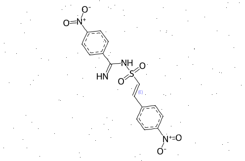 N=C(NS(=O)(=O)/C=C/c1ccc([N+](=O)[O-])cc1)c1ccc([N+](=O)[O-])cc1